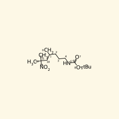 [CH2]C(CCCNC(=O)OC(C)(C)C)CC(C)(C)[N+](=O)[O-]